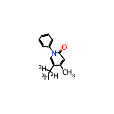 [2H]C([2H])([2H])c1cn(-c2ccccc2)c(=O)cc1C